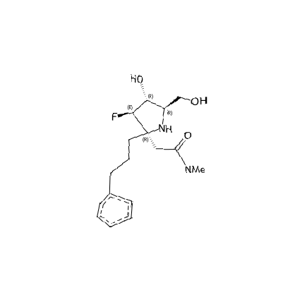 CNC(=O)C[C@@]1(CCCc2ccccc2)N[C@H](CO)[C@@H](O)[C@@H]1F